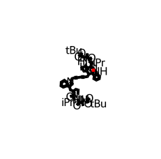 CC(NC(=O)OC(C)(C)C)C(=O)NC(C(=O)N1CCCC1Cc1cn(CC#CC#CCC(c2c[nH]c3ccccc23)C2CCCN2C(=O)C(NC(=O)C(C)NC(=O)OC(C)(C)C)C(C)C)c2ccccc12)C(C)C